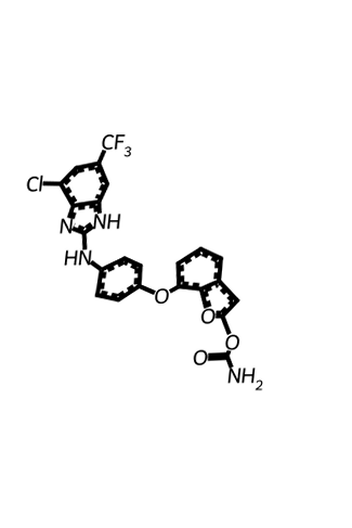 NC(=O)Oc1cc2cccc(Oc3ccc(Nc4nc5c(Cl)cc(C(F)(F)F)cc5[nH]4)cc3)c2o1